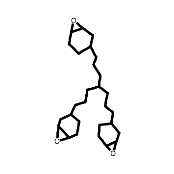 C(CC(CCCC1CCC2OC2C1)CCCC1CCC2OC2C1)CC1CCC2OC2C1